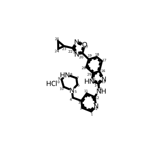 Cl.c1cc(CN2CCNCC2)cc(Nc2nc3ccc(-c4nc(C5CC5)no4)cc3[nH]2)n1